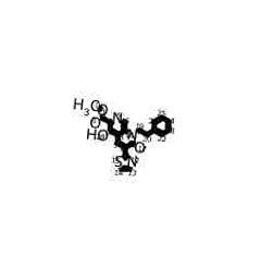 COC(=O)c1ncc2c(cc(-c3nccs3)c(=O)n2CCc2ccccc2)c1O